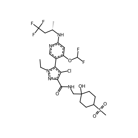 CCn1nc(C(=O)NCC2(O)CCC(S(C)(=O)=O)CC2)c(Cl)c1-c1cnc(N[C@@H](C)CC(F)(F)F)cc1OC(F)F